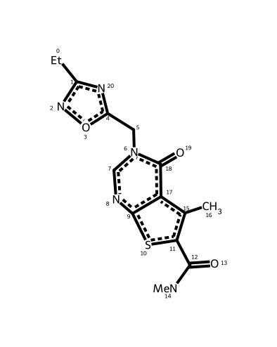 CCc1noc(Cn2cnc3sc(C(=O)NC)c(C)c3c2=O)n1